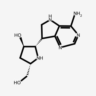 Nc1ncnc2c1NCC2[C@@H]1N[C@H](CO)C[C@H]1O